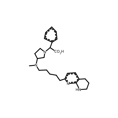 CN(CCCCCc1ccc2c(n1)NCCC2)C1CCN(C(C(=O)O)c2ccccc2)C1